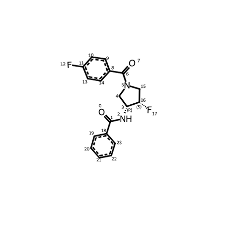 O=C(N[C@@H]1CN(C(=O)c2ccc(F)cc2)C[C@@H]1F)c1ccccc1